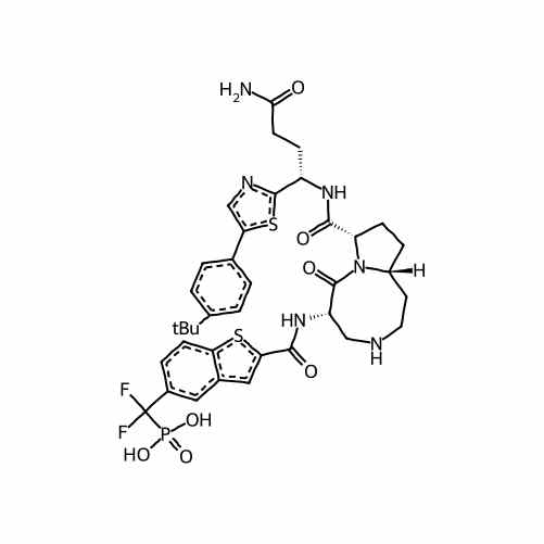 CC(C)(C)c1ccc(-c2cnc([C@H](CCC(N)=O)NC(=O)[C@@H]3CC[C@@H]4CCNC[C@H](NC(=O)c5cc6cc(C(F)(F)P(=O)(O)O)ccc6s5)C(=O)N43)s2)cc1